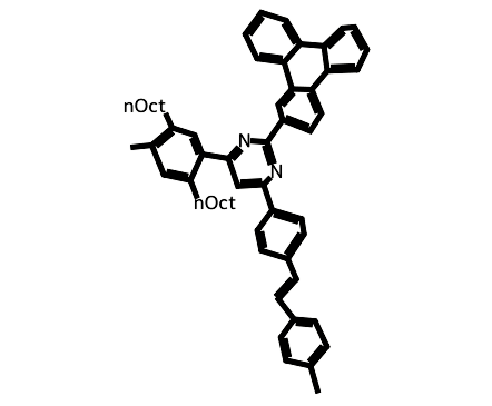 CCCCCCCCc1cc(-c2cc(-c3ccc(/C=C/c4ccc(C)cc4)cc3)nc(-c3ccc4c5ccccc5c5ccccc5c4c3)n2)c(CCCCCCCC)cc1C